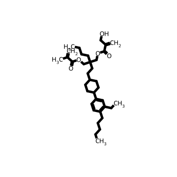 C=C(C)C(=O)OCC(CCCC)(CCC1CCC(c2ccc(CCCCC)c(CC)c2)CC1)COC(=O)C(=C)CO